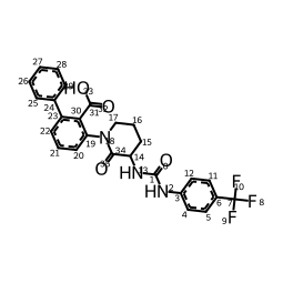 O=C(Nc1ccc(C(F)(F)F)cc1)NC1CCCN(c2cccc(-c3ccccc3)c2C(=O)O)C1=O